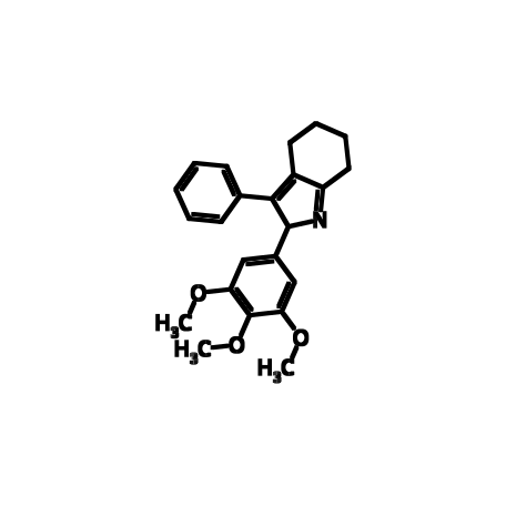 COc1cc(C2N=C3CCCCC3=C2c2ccccc2)cc(OC)c1OC